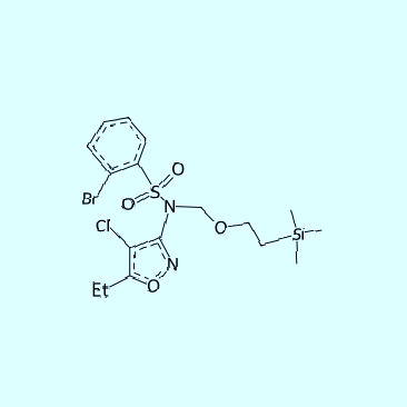 CCc1onc(N(COCC[Si](C)(C)C)S(=O)(=O)c2ccccc2Br)c1Cl